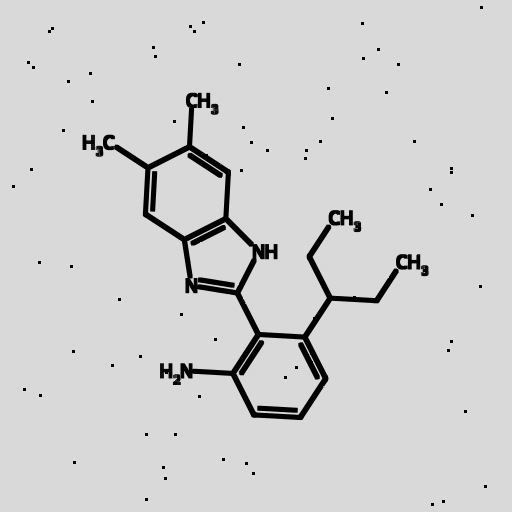 CCC(CC)c1cccc(N)c1-c1nc2cc(C)c(C)cc2[nH]1